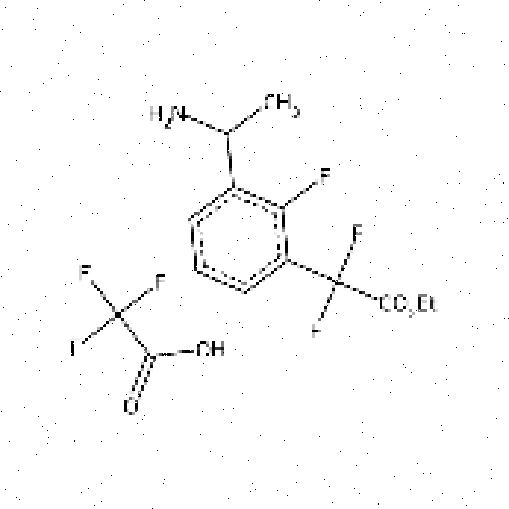 CCOC(=O)C(F)(F)c1cccc(C(C)N)c1F.O=C(O)C(F)(F)F